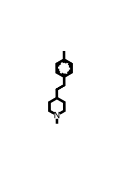 Cc1ccc(CCC2CCN(C)CC2)cc1